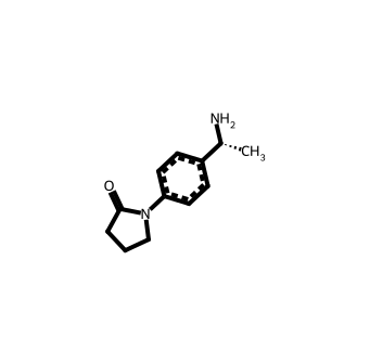 C[C@@H](N)c1ccc(N2CCCC2=O)cc1